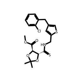 COC(=O)[C@@H]1OC(C)(C)O[C@H]1C(=S)NCc1cc(Cc2ccccc2Cl)cs1